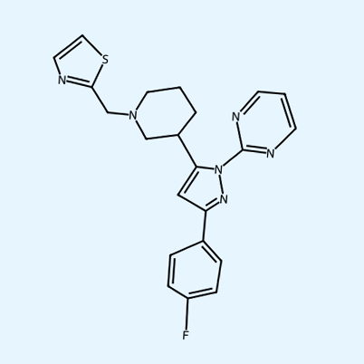 Fc1ccc(-c2cc(C3CCCN(Cc4nccs4)C3)n(-c3ncccn3)n2)cc1